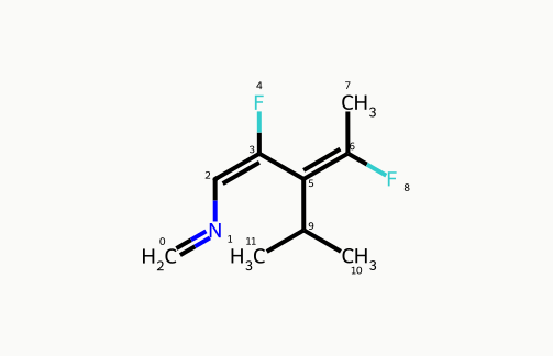 C=N/C=C(F)\C(=C(/C)F)C(C)C